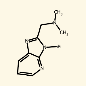 CC(C)n1c(CN(C)C)nc2cccnc21